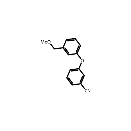 COCc1cccc(Oc2cccc(C#N)c2)c1